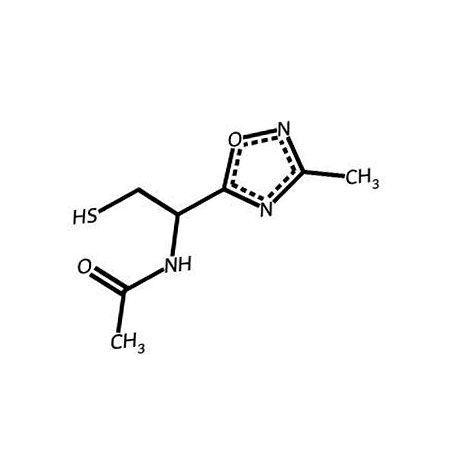 CC(=O)NC(CS)c1nc(C)no1